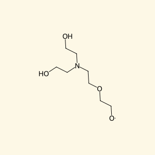 [O]CCOCCN(CCO)CCO